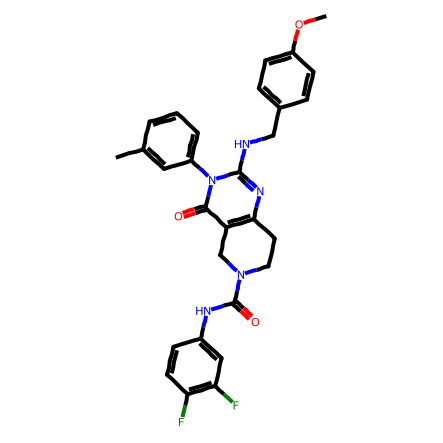 COc1ccc(CNc2nc3c(c(=O)n2-c2cccc(C)c2)CN(C(=O)Nc2ccc(F)c(F)c2)CC3)cc1